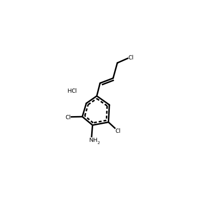 Cl.Nc1c(Cl)cc(C=CCCl)cc1Cl